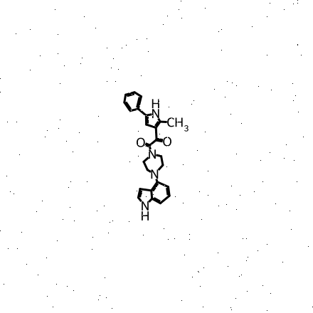 Cc1[nH]c(-c2ccccc2)cc1C(=O)C(=O)N1CCN(c2cccc3[nH]ccc23)CC1